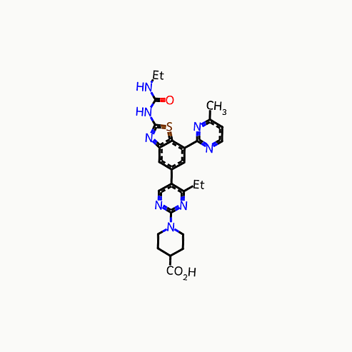 CCNC(=O)Nc1nc2cc(-c3cnc(N4CCC(C(=O)O)CC4)nc3CC)cc(-c3nccc(C)n3)c2s1